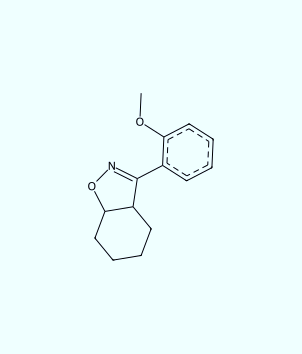 COc1ccccc1C1=NOC2CCCCC12